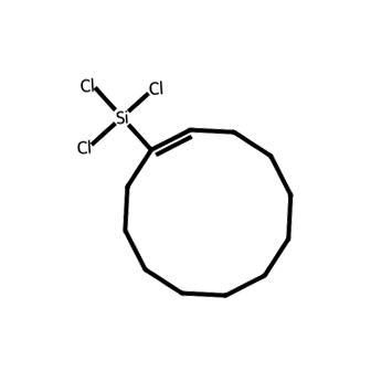 Cl[Si](Cl)(Cl)C1=CCCCCCCCCCC1